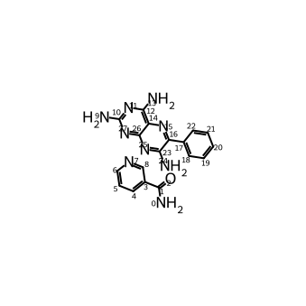 NC(=O)c1cccnc1.Nc1nc(N)c2nc(-c3ccccc3)c(N)nc2n1